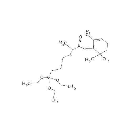 CCO[Si](CCCSC(C)C(=O)CC1C(C)=CCCC1(C)C)(OCC)OCC